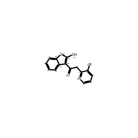 O=C(Cc1ncccc1Br)c1c(O)sc2ccccc12